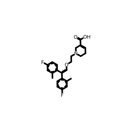 Cc1cc(F)ccc1C(=COCCN1CCC=C(C(=O)O)C1)c1ccc(F)cc1C